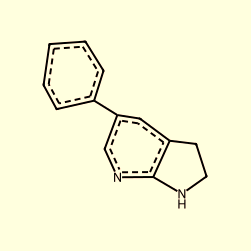 c1ccc(-c2cnc3c(c2)CCN3)cc1